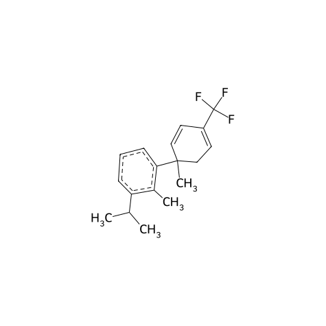 Cc1c(C(C)C)cccc1C1(C)C=CC(C(F)(F)F)=CC1